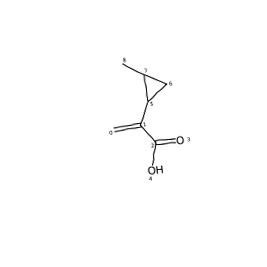 C=C(C(=O)O)C1CC1C